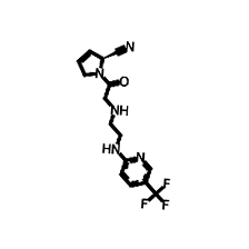 N#C[C@@H]1C=CCN1C(=O)CNCCNc1ccc(C(F)(F)F)cn1